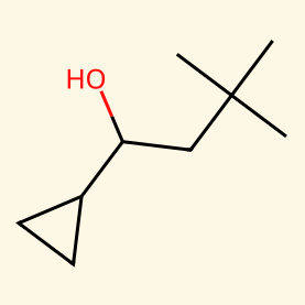 CC(C)(C)CC(O)C1CC1